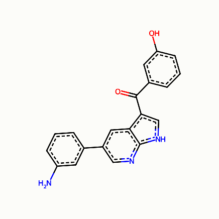 Nc1cccc(-c2cnc3[nH]cc(C(=O)c4cccc(O)c4)c3c2)c1